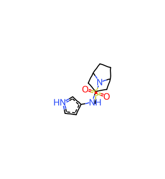 CS(=O)(=O)N1C2CCC1CC(Nc1cc[nH]c1)C2